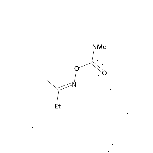 CC/C(C)=N/OC(=O)NC